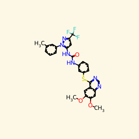 COc1cc2ncnc(Sc3cccc(NC(=O)Nc4cc(C(F)(F)F)nn4-c4cccc(C)c4)c3)c2cc1OC